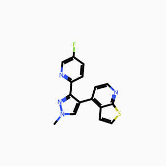 Cn1cc(-c2ccnc3sccc23)c(-c2ccc(F)cn2)n1